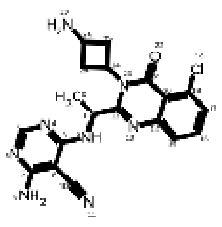 C[C@H](Nc1ncnc(N)c1C#N)c1nc2cccc(Cl)c2c(=O)n1C1CC(N)C1